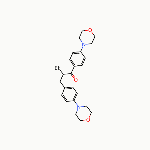 CCC(Cc1ccc(N2CCOCC2)cc1)C(=O)c1ccc(N2CCOCC2)cc1